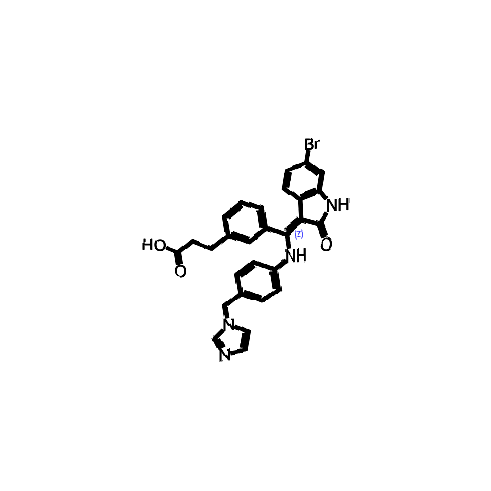 O=C(O)CCc1cccc(/C(Nc2ccc(Cn3ccnc3)cc2)=C2/C(=O)Nc3cc(Br)ccc32)c1